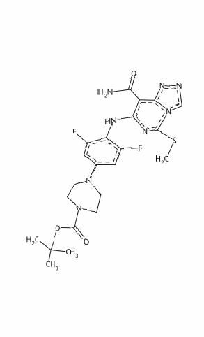 CSc1nc(Nc2c(F)cc(N3CCN(C(=O)OC(C)(C)C)CC3)cc2F)c(C(N)=O)c2nncn12